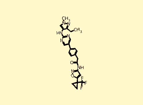 CCc1nn(C)cc1Nc1ncc(-c2ccc(CC(=O)Nc3cc(C4(C(F)(F)F)CC4)on3)cc2)cn1